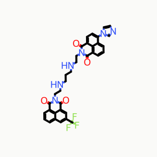 O=C1c2cccc3cc(C(F)(F)F)cc(c23)C(=O)N1CCNCCCNCCN1C(=O)c2cccc3c(-n4ccnc4)ccc(c23)C1=O